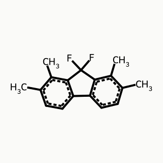 Cc1ccc2c(c1C)C(F)(F)c1c-2ccc(C)c1C